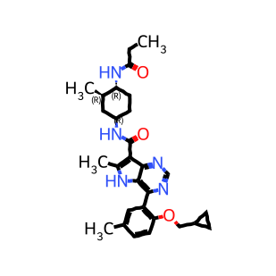 CCC(=O)N[C@@H]1CC[C@@H](NC(=O)c2c(C)[nH]c3c(-c4cc(C)ccc4OCC4CC4)ncnc23)C[C@H]1C